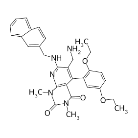 CCOc1ccc(OCC)c(-c2c(CN)c(NCc3ccc4ccccc4c3)nc3c2c(=O)n(C)c(=O)n3C)c1